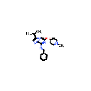 CC(C)c1cnc2c(NCc3ccccc3)nc(OC3CCN(C)CC3)cn12